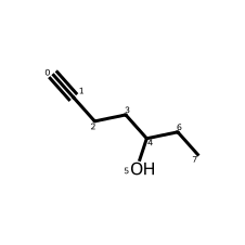 C#CCCC(O)CC